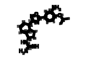 CC(C)Oc1ccc(-c2nc(C3C=CC=C4C3CC[C@@H]4NC(=N)N)no2)cc1N